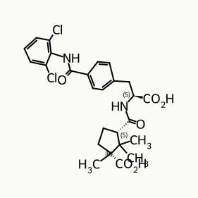 CC1(C)[C@@H](C(=O)N[C@@H](Cc2ccc(C(=O)Nc3c(Cl)cccc3Cl)cc2)C(=O)O)CC[C@@]1(C)C(=O)O